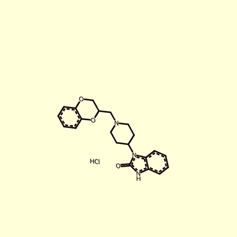 Cl.O=c1[nH]c2ccccc2n1C1CCN(CC2COc3ccccc3O2)CC1